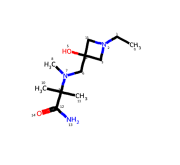 CCN1CC(O)(CN(C)C(C)(C)C(N)=O)C1